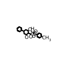 Cc1ccc(S(=O)(=O)NC(=O)C2C(=O)CC(c3ccccc3)CC2=O)cc1